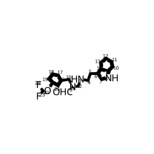 O=CN(CNCCc1c[nH]c2ccccc12)Cc1cccc(OC(F)F)c1